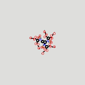 COCCOC(=O)c1cc(C(=O)OCCOC)cc(N(C=S(=O)=O)c2ccc3c(N(C=S(=O)=O)c4cc(C(=O)OCCOC)cc(C(=O)OCCOC)c4)cc(N(C=S(=O)=O)c4cc(C(=O)OCCOC)cc(C(=O)OCCOC)c4)cc3c2)c1